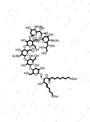 CCCCCCCCCCCCC/C=C/[C@@H](O)[C@H](CO[C@@H]1OC(CO)[C@@H](O[C@@H]2OC(CO)[C@H](O)[C@H](O[C@@H]3OC(CO)[C@@H](O[C@@H]4OC(CO)[C@H](O)[C@H](O[C@]5(C(=O)O)CC(O)[C@@H](NC(C)=O)C([C@H](O)[C@@H](CO)O[C@]6(C(=O)O)CC(O)[C@@H](NC(C)=O)C([C@H](O)[C@H](O)CO)O6)O5)C4O)[C@H](O)C3NC(C)=O)C2O)[C@H](O)C1O)NC(=O)CCCCCCCCCCCCCCCCC